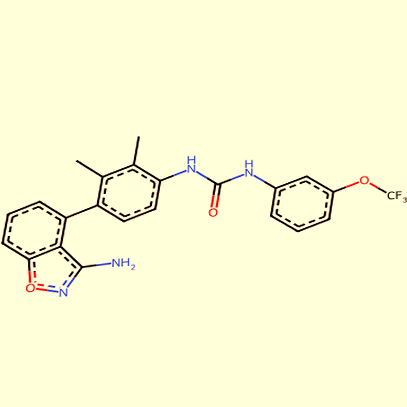 Cc1c(NC(=O)Nc2cccc(OC(F)(F)F)c2)ccc(-c2cccc3onc(N)c23)c1C